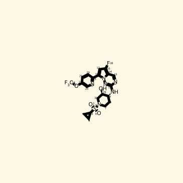 O=S(=O)(C1CC1)N1CC[C@@H](Nc2ncc3c(F)cc(-c4ccc(OC(F)(F)F)cn4)n3n2)[C@H](O)C1